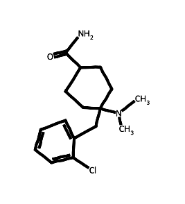 CN(C)C1(Cc2ccccc2Cl)CCC(C(N)=O)CC1